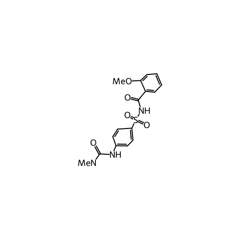 CNC(=O)Nc1ccc(S(=O)(=O)NC(=O)c2ccccc2OC)cc1